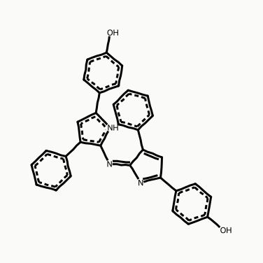 Oc1ccc(C2=N/C(=N/c3[nH]c(-c4ccc(O)cc4)cc3-c3ccccc3)C(c3ccccc3)=C2)cc1